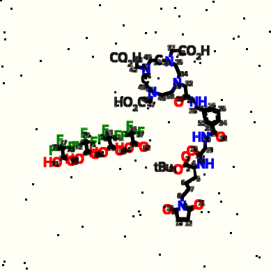 CC(C)(C)OC(=O)[C@H](CCCCN1C(=O)C=CC1=O)NC(=O)CNC(=O)c1cccc(CNC(=O)CN2CCN(CC(=O)O)CCN(CC(=O)O)CCN(CC(=O)O)CC2)c1.O=C(O)C(F)(F)F.O=C(O)C(F)(F)F.O=C(O)C(F)(F)F.O=C(O)C(F)(F)F